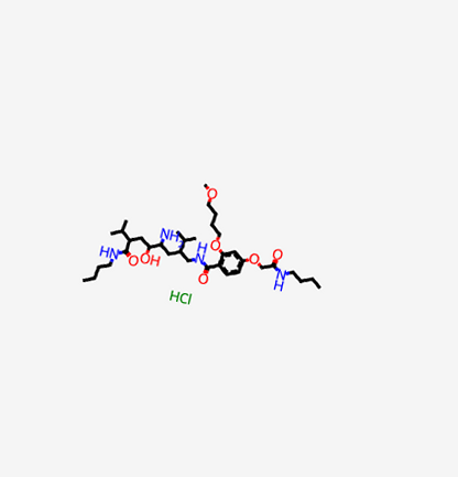 CCCCNC(=O)COc1ccc(C(=O)NCC(CC(N)C(O)CC(C(=O)NCCCC)C(C)C)C(C)C)c(OCCCCOC)c1.Cl